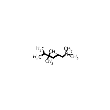 CC(C)C(C)(C)CCCN(C)C